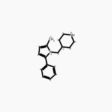 Cc1ccc(-c2ccccc2)n1CC1[CH]CNCC1